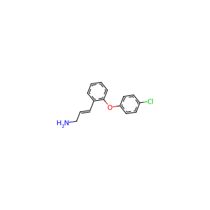 NCC=Cc1ccccc1Oc1ccc(Cl)cc1